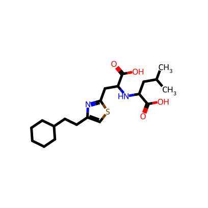 CC(C)CC(NC(Cc1nc(CCC2CCCCC2)cs1)C(=O)O)C(=O)O